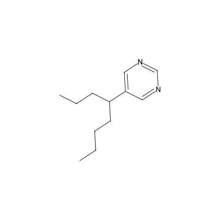 CCCCC(CCC)c1cncnc1